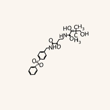 CC(C)(CO)[C@@H](O)C(=O)NCCC(=O)C(=O)NCc1ccc(S(=O)(=O)c2ccccc2)cc1